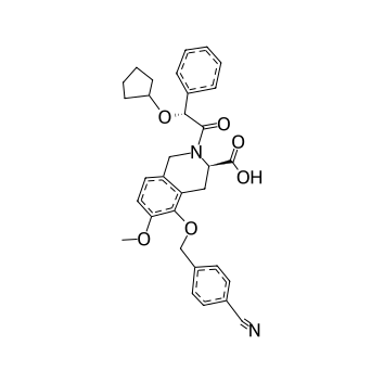 COc1ccc2c(c1OCc1ccc(C#N)cc1)C[C@H](C(=O)O)N(C(=O)[C@H](OC1CCCC1)c1ccccc1)C2